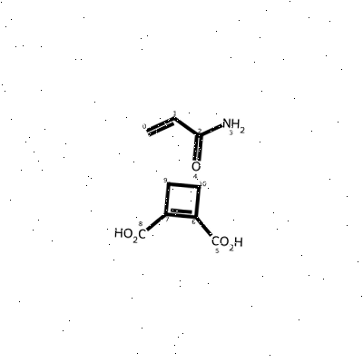 C=CC(N)=O.O=C(O)C1=C(C(=O)O)CC1